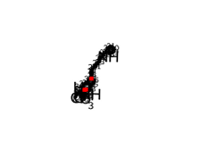 O=S1(=O)N[C@@]2(CN1CC(F)(F)F)[C@@H]1CC[C@H]2Cc2ccc(C#CCCCCCNCc3ccccc3)cc2C1